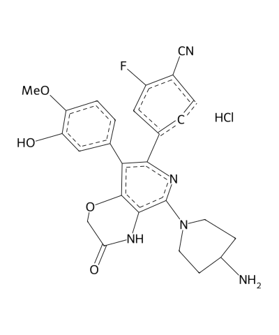 COc1ccc(-c2c(-c3ccc(C#N)c(F)c3)nc(N3CCC(N)CC3)c3c2OCC(=O)N3)cc1O.Cl